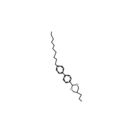 CCCCCCCCCCc1ccc(-c2ccc(C3OCC(CCC)CO3)cc2)cc1